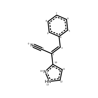 N#CC(=Cc1ccccc1)c1cc[nH]n1